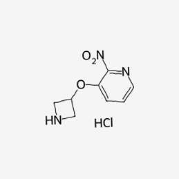 Cl.O=[N+]([O-])c1ncccc1OC1CNC1